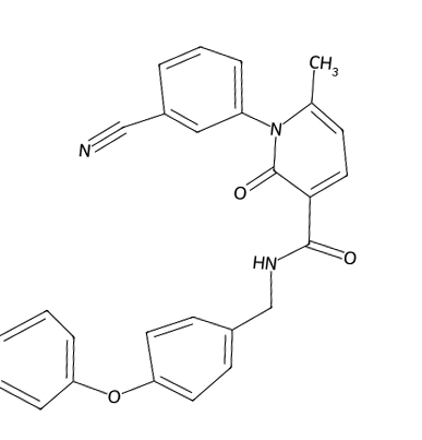 Cc1ccc(C(=O)NCc2ccc(Oc3ccccc3)cc2)c(=O)n1-c1cccc(C#N)c1